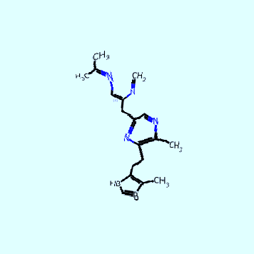 C=N/C(=C\N=C(C)C)Cc1cnc(C)c(CCC2=C(C)B=CB2)n1